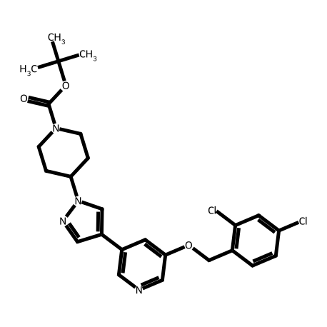 CC(C)(C)OC(=O)N1CCC(n2cc(-c3cncc(OCc4ccc(Cl)cc4Cl)c3)cn2)CC1